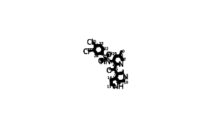 Cc1cnc(C(=O)c2cncc3[nH]ccc23)c(NS(=O)(=O)c2ccc(Cl)c(Cl)c2)c1